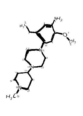 CCc1cc(N)c(OC)cc1N1CCN(C2CCN(C)CC2)CC1